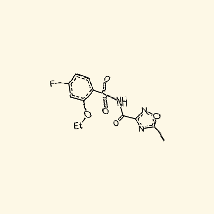 CCOc1cc(F)ccc1S(=O)(=O)NC(=O)c1noc(C)n1